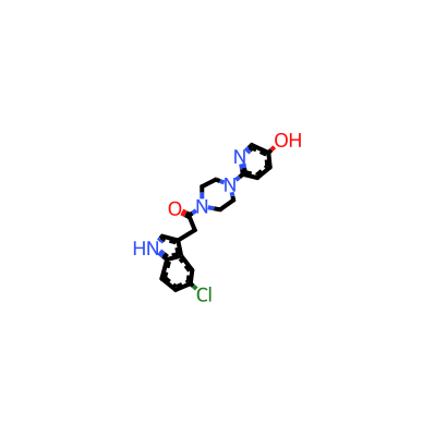 O=C(Cc1c[nH]c2ccc(Cl)cc12)N1CCN(c2ccc(O)cn2)CC1